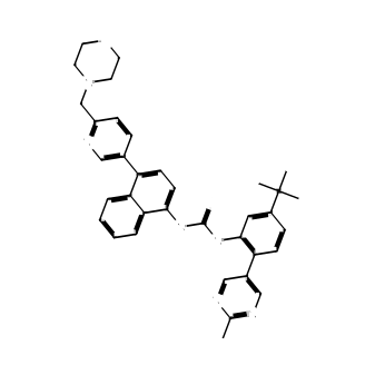 Cc1ncc(-c2ccc(C(C)(C)C)cc2NC(=O)Nc2ccc(-c3ccc(CN4CCOCC4)nc3)c3ccccc23)cn1